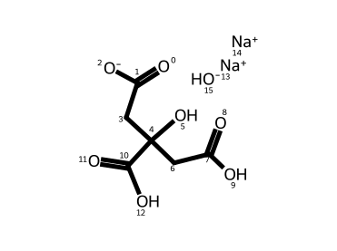 O=C([O-])CC(O)(CC(=O)O)C(=O)O.[Na+].[Na+].[OH-]